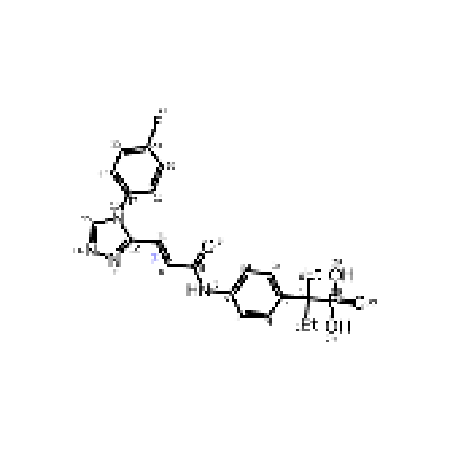 CCC(CC)(c1ccc(NC(=O)/C=C/c2nncn2-c2ccc(F)cc2)cc1)P(=O)(O)O